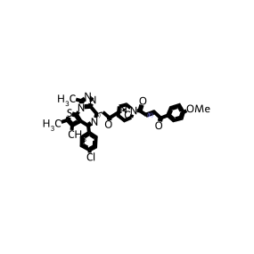 COc1ccc(C(=O)/C=C/C(=O)N2CC3CCC2CN3C(=O)C[C@@H]2N=C(c3ccc(Cl)cc3)c3c(sc(C)c3C)-n3c(C)nnc32)cc1